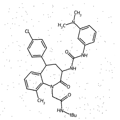 Cc1cccc2c1N(CC(=O)NC(C)(C)C)C(=O)C(NC(=O)Nc1cccc(N(C)C)c1)CC2c1ccc(Cl)cc1